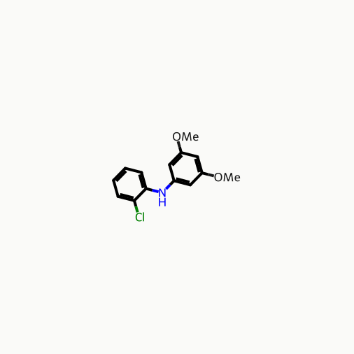 COc1cc(Nc2ccccc2Cl)cc(OC)c1